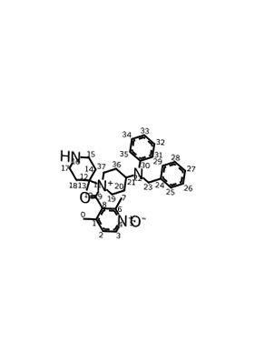 Cc1cc[n+]([O-])c(C)c1C(=O)[N+]1(C2(C)CCNCC2)CCC(N(Cc2ccccc2)c2ccccc2)CC1